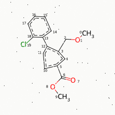 COCc1cc(C(=O)OC)ccc1-c1ccccc1Cl